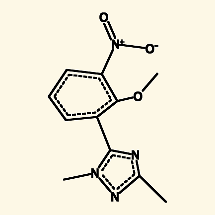 COc1c(-c2nc(C)nn2C)cccc1[N+](=O)[O-]